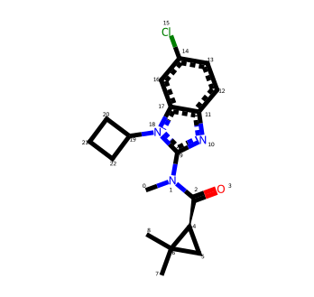 CN(C(=O)[C@H]1CC1(C)C)c1nc2ccc(Cl)cc2n1C1CCC1